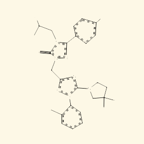 O=c1n(Cc2nc(N3CCC(F)(F)C3)n(-c3ccccc3Cl)n2)nc(-c2ccc(Cl)cc2)n1CC(O)C(F)(F)F